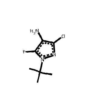 CC(C)(C)n1nc(Cl)c(N)c1F